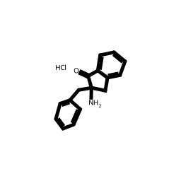 Cl.NC1(Cc2ccccc2)Cc2ccccc2C1=O